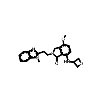 COc1ccc(NC2COC2)c2c1CN(CCc1nc3ccccc3n1C)C2=O